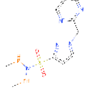 CPN(PC)S(=O)(=O)c1ccn(Cc2ncccn2)n1